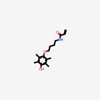 C=CC(=O)NCCCCOc1c(C)c(C)c(O)c(C)c1C